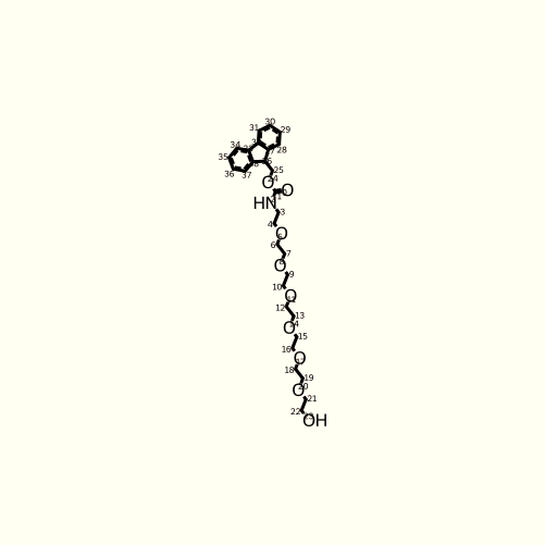 O=C(NCCOCCOCCOCCOCCOCCOCCO)OCC1c2ccccc2-c2ccccc21